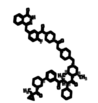 C[C@@H]1CN(CC2CCN(CC(=O)N3CCN(C(=O)c4cc(Cc5n[nH]c(=O)c6ccccc56)ccc4F)CC3)CC2)C[C@H](C)N1C(=O)[C@H](NC(=O)c1cccc([C@@H]2CCCN(C(=O)C3(C)CC3)C2)c1)C1CCCCC1